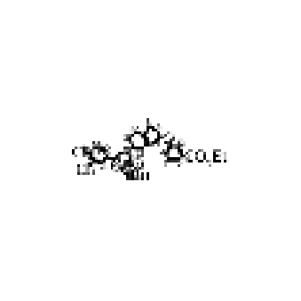 CCOC(=O)c1cccc(Oc2ccc3c(c2)C[C@@H](N(C[C@@H](O)c2cnc(Cl)c(Cl)c2)C(=O)OC(C)(C)C)CC3)c1